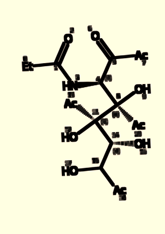 CCC(=O)N[C@@H](C(=O)C(C)=O)[C@](O)(C(C)=O)[C@@](O)(C(C)=O)[C@H](O)C(O)C(C)=O